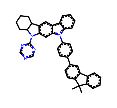 CC1(C)c2ccccc2-c2cc(-c3ccc(-n4c5ccccc5c5cc6c(cc54)N(c4ncncn4)C4CCCCC64)cc3)ccc21